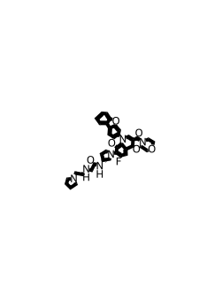 O=C(CNCCN1CCCC1)N[C@@H]1CCN(c2c(F)cc3c(=O)c(C(=O)N4CCOCC4)cn4c3c2Oc2cc3c(cc2-4)oc2ccccc23)C1